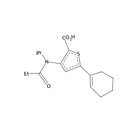 CCC(=O)N(c1cc(C2=CCCCC2)sc1C(=O)O)C(C)C